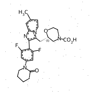 Cc1ccn2c(C[C@H]3CN(C(=O)O)CCO3)c(-c3c(F)cc(N4CCCCC4=O)cc3F)nc2c1